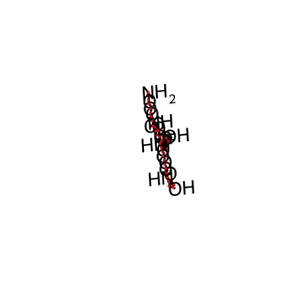 NCCCOCCOCCOCCCNC(=O)c1cc2ccc(OCC(=O)NCCOCCOCCOCCOCCC(=O)NCCc3ccc(O)cc3)cc2oc1=O.O=C(O)C(F)(F)F